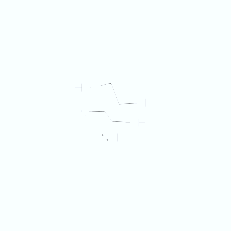 CCCC.CCCO.N